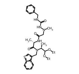 CCOC(OCC)[C@H](C)N(Cc1csc2ccccc12)C(=O)[C@H](C)NC(=O)CN(C)NC(=O)NCc1ccccc1